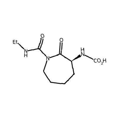 CCNC(=O)N1CCCC[C@H](NC(=O)O)C1=O